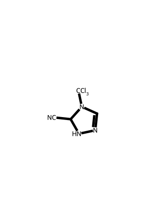 N#CC1NN=CN1C(Cl)(Cl)Cl